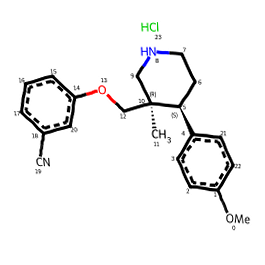 COc1ccc([C@@H]2CCNC[C@]2(C)COc2cccc(C#N)c2)cc1.Cl